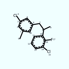 Cc1cc(Cl)cc(CC(C)c2cccc(Cl)c2F)c1